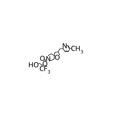 Cc1ccc(CC2COC3(CCN(C(=O)OC(CO)C(F)(F)F)CC3)C2)nc1